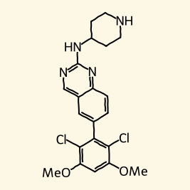 COc1cc(OC)c(Cl)c(-c2ccc3nc(NC4CCNCC4)ncc3c2)c1Cl